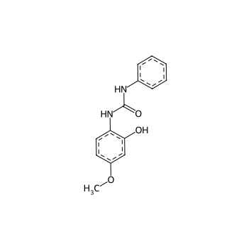 COc1ccc(NC(=O)Nc2ccccc2)c(O)c1